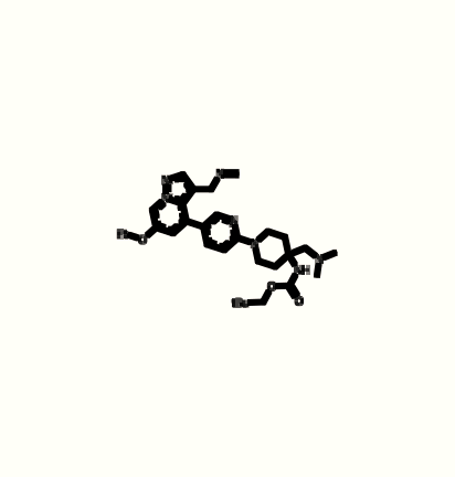 C=NCc1cnn2cc(OCC)cc(-c3ccc(N4CCC(CN(C)C)(NC(=O)OCC(C)(C)C)CC4)nc3)c12